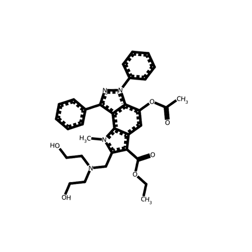 CCOC(=O)c1c(CN(CCO)CCO)n(C)c2c1cc(OC(C)=O)c1c2c(-c2ccccc2)nn1-c1ccccc1